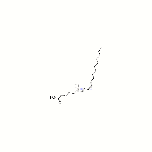 CCCCCCCCCC/C=C\C=C\[C@@H](O)CCCCC(=O)O